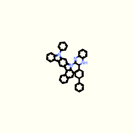 C1=CC(c2ccccc2)CC=C1C1Nc2ccccc2N=C1n1c2cc3c(cc2c2c4ccccc4ccc21)c1ccccc1n3-c1ccccc1